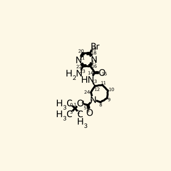 CC(C)(C)OC(=O)N1CCCC[C@H](NC(=O)c2nc(Br)cnc2N)C1